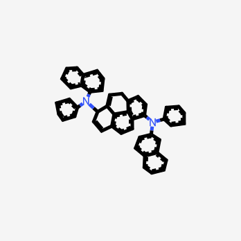 C1=CC(N(c2ccccc2)c2cccc3ccccc23)C2=CCc3ccc(N(c4ccccc4)c4ccc5ccccc5c4)c4ccc1c2c34